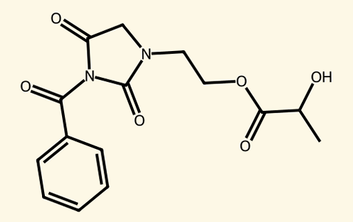 CC(O)C(=O)OCCN1CC(=O)N(C(=O)c2ccccc2)C1=O